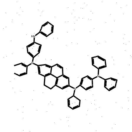 C/C=C\C(=C/C)N(c1ccc(Nc2ccccc2)cc1)c1cc2c3c(ccc4cc(N(c5ccc(N(c6ccccc6)c6ccccc6)cc5)C5C=CC=CC5)cc(c43)CC2)c1